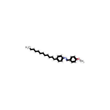 CCCCCCCCCCCCc1ccc(N=Cc2ccc(OC)cc2)cc1